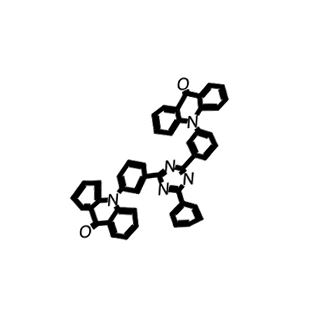 O=c1c2ccccc2n(-c2cccc(-c3nc(-c4ccccc4)nc(-c4cccc(-n5c6ccccc6c(=O)c6ccccc65)c4)n3)c2)c2ccccc12